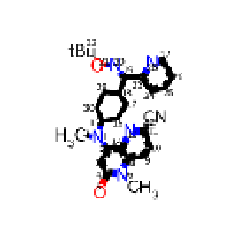 CN(c1cc(=O)n(C)c2ccc(C#N)nc12)C1CCC(/C(=N\OC(C)(C)C)c2ccccn2)CC1